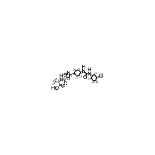 CC(C)C(NC(=O)c1cc(-c2ccc(NC(=O)Nc3cccc(Cl)c3)cc2)no1)C(=O)O